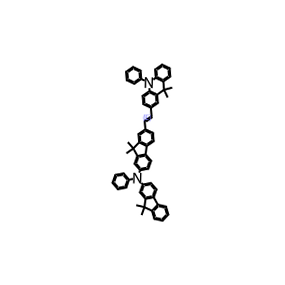 CC1(C)c2ccccc2-c2ccc(N(c3ccccc3)c3ccc4c(c3)C(C)(C)c3cc(/C=C/c5ccc6c(c5)C(C)(C)c5ccccc5N6c5ccccc5)ccc3-4)cc21